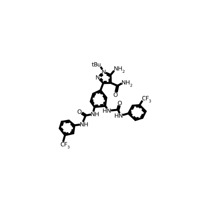 CC(C)(C)n1nc(-c2ccc(NC(=O)Nc3cccc(C(F)(F)F)c3)c(NC(=O)Nc3cccc(C(F)(F)F)c3)c2)c(C(N)=O)c1N